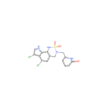 O=c1cccc(CN2Cc3cc(Cl)c4c(Cl)c[nH]c4c3NS2(=O)=O)[nH]1